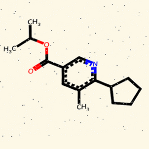 Cc1cc(C(=O)OC(C)C)cnc1C1CCCC1